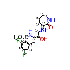 O=C(O)N[C@@H](Cc1cc(F)cc(F)c1)[C@@H](O)CN[C@@H]1CCCCNC1=O